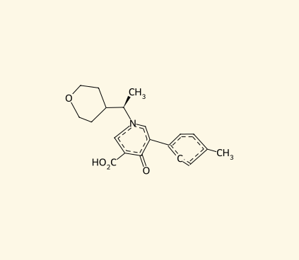 Cc1ccc(-c2cn([C@H](C)C3CCOCC3)cc(C(=O)O)c2=O)cc1